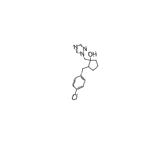 OC1(Cn2cncn2)CCCC1Cc1ccc(Cl)cc1